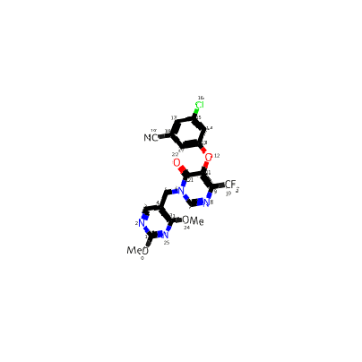 COc1ncc(Cn2cnc(C(F)(F)F)c(Oc3cc(Cl)cc(C#N)c3)c2=O)c(OC)n1